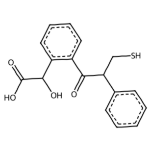 O=C(O)C(O)c1ccccc1C(=O)C(CS)c1ccccc1